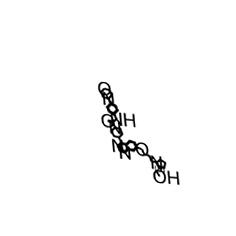 O=C(Nc1ccc(N2CCOCC2)cc1)N1CCC(c2ncnc3cc(OCCCN4CCC[C@H]4CO)ccc23)CC1